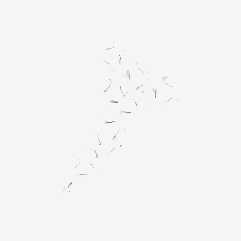 N#Cc1ccc(-c2ccc3cc(-c4ccc5c6c(cccc46)-c4c(-c6ccccc6)ccc(-c6ccccc6)c4-5)ccc3c2)cc1